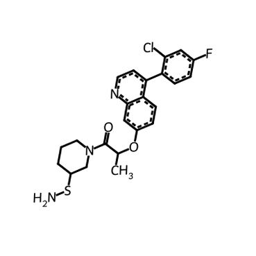 CC(Oc1ccc2c(-c3ccc(F)cc3Cl)ccnc2c1)C(=O)N1CCCC(SN)C1